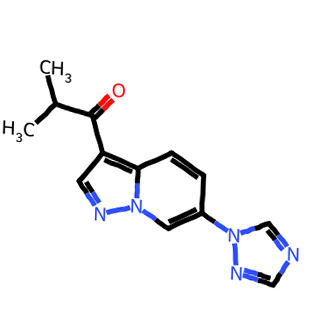 CC(C)C(=O)c1cnn2cc(-n3cncn3)ccc12